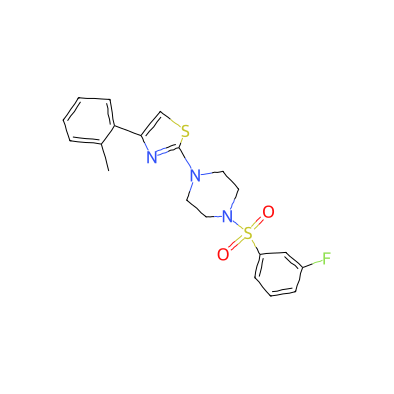 Cc1ccccc1-c1csc(N2CCN(S(=O)(=O)c3cccc(F)c3)CC2)n1